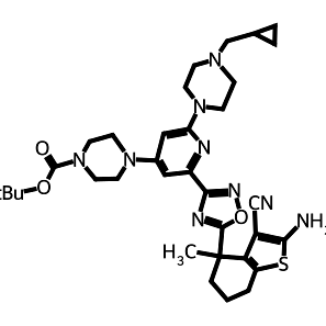 CC(C)(C)OC(=O)N1CCN(c2cc(-c3noc(C4(C)CCCc5sc(N)c(C#N)c54)n3)nc(N3CCN(CC4CC4)CC3)c2)CC1